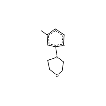 Cc1cc[c]c(N2CCOCC2)c1